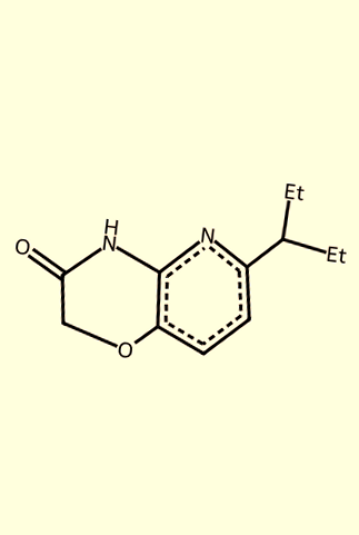 CCC(CC)c1ccc2c(n1)NC(=O)CO2